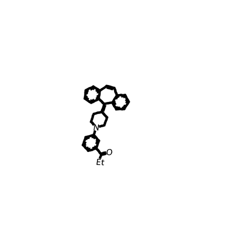 CCC(=O)c1cccc(N2CCC(=C3c4ccccc4C=Cc4ccccc43)CC2)c1